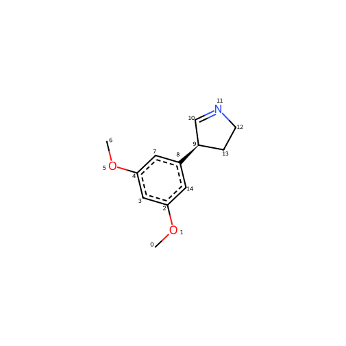 COc1cc(OC)cc([C@H]2C=NCC2)c1